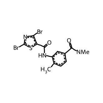 CNC(=O)c1ccc(C)c(NC(=O)c2sc(Br)nc2Br)c1